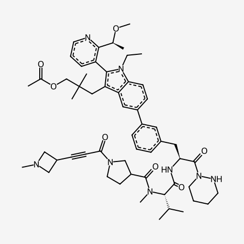 CCn1c(-c2cccnc2[C@H](C)OC)c(CC(C)(C)COC(C)=O)c2cc(-c3cccc(C[C@H](NC(=O)[C@H](C(C)C)N(C)C(=O)C4CCN(C(=O)C#CC5CN(C)C5)C4)C(=O)N4CCCCN4)c3)ccc21